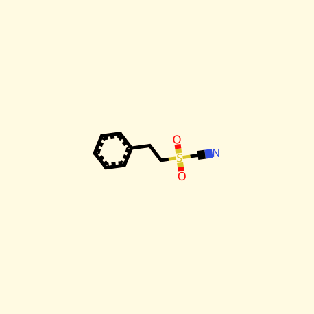 N#CS(=O)(=O)CCc1ccccc1